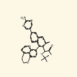 CC(=O)C(OC(C)(C)C)c1c(C)cc2cc(-c3cnc(N)nc3)ccc2c1-c1ccc2c3c(ccnc13)CCO2